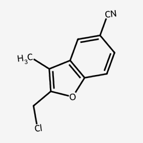 Cc1c(CCl)oc2ccc(C#N)cc12